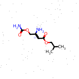 CC(C)COC(=O)/C=C(\N)COC(N)=O